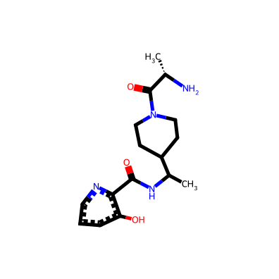 CC(NC(=O)c1ncccc1O)C1CCN(C(=O)[C@H](C)N)CC1